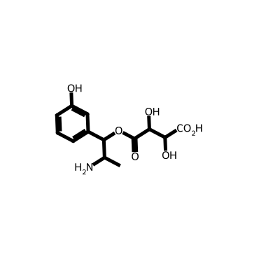 CC(N)C(OC(=O)C(O)C(O)C(=O)O)c1cccc(O)c1